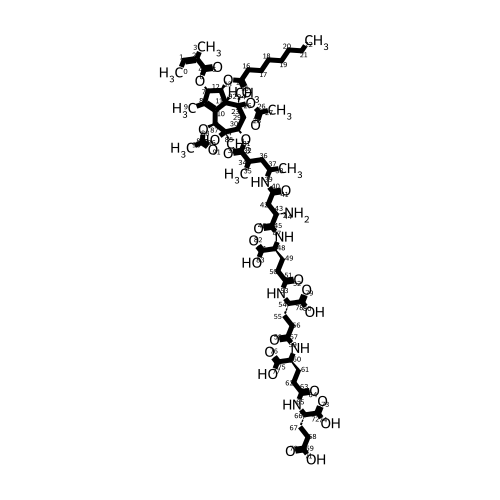 C/C=C(/C)C(=O)O[C@H]1C(C)=C2[C@H]([C@@H]1OC(=O)CCCCCCC)[C@@](C)(OC(C)=O)C[C@H](OC(=O)C(C)CC(C)NC(=O)C[C@H](N)C(=O)N[C@@H](CCC(=O)N[C@@H](CCC(=O)N[C@@H](CCC(=O)N[C@@H](CCC(=O)O)C(=O)O)C(=O)O)C(=O)O)C(=O)O)[C@@](C)(O)[C@H]2OC(C)=O